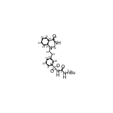 CCCCNC(=O)NS(=O)(=O)c1cccc(CCN2CNC(=O)c3ccccc32)c1